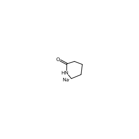 O=C1CCCCN1.[Na]